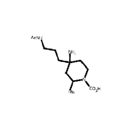 CC(=O)NCCCC1(N)CCN(C(=O)O)C(C(C)(C)C)C1